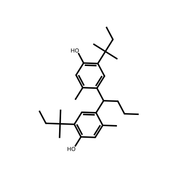 CCCC(c1cc(C(C)(C)CC)c(O)cc1C)c1cc(C(C)(C)CC)c(O)cc1C